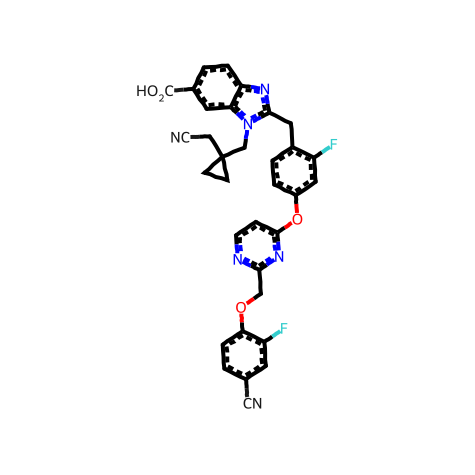 N#CCC1(Cn2c(Cc3ccc(Oc4ccnc(COc5ccc(C#N)cc5F)n4)cc3F)nc3ccc(C(=O)O)cc32)CC1